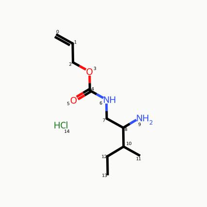 C=CCOC(=O)NCC(N)C(C)CC.Cl